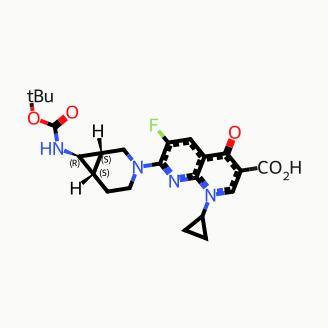 CC(C)(C)OC(=O)N[C@H]1[C@@H]2CN(c3nc4c(cc3F)c(=O)c(C(=O)O)cn4C3CC3)CC[C@@H]21